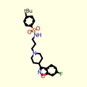 CC(C)(C)c1ccc(S(=O)(=O)NCCCN2CCC(c3noc4cc(F)ccc34)CC2)cc1